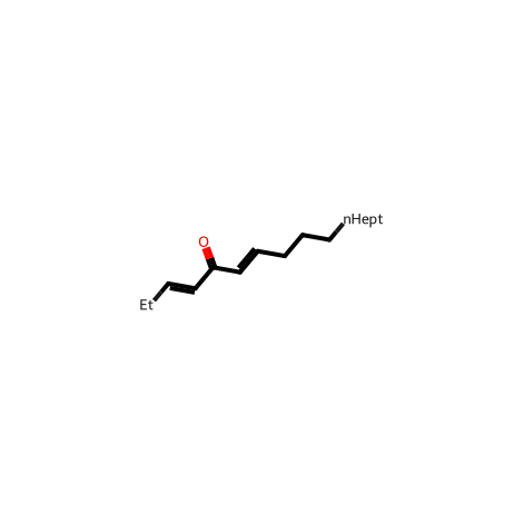 CCC=CC(=O)C=CCCCCCCCCCC